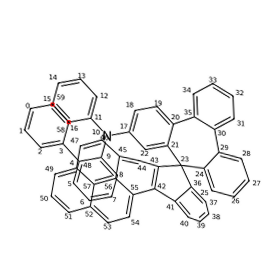 c1ccc(-c2ccccc2N(c2ccccc2)c2ccc3c(c2)C2(c4ccccc4-c4ccccc4-3)c3ccccc3-c3c2cc2ccc4cccc5ccc3c2c45)cc1